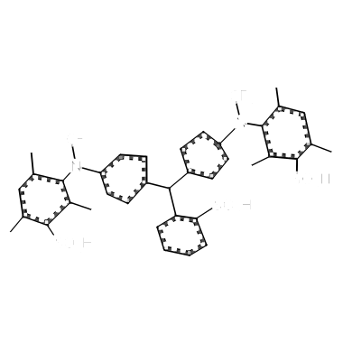 Cc1cc(C)c(S(=O)(=O)O)c(C)c1N(c1ccc(C(c2ccc(N(c3c(C)cc(C)c(S(=O)(=O)O)c3C)C(F)(F)F)cc2)c2ccccc2S(=O)(=O)O)cc1)C(F)(F)F